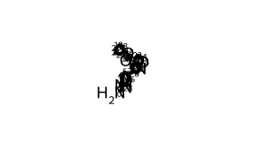 Nc1nc2ccc(-c3cnc4c(c3)N(C(=O)OC3CCCCC3)CCO4)cn2n1